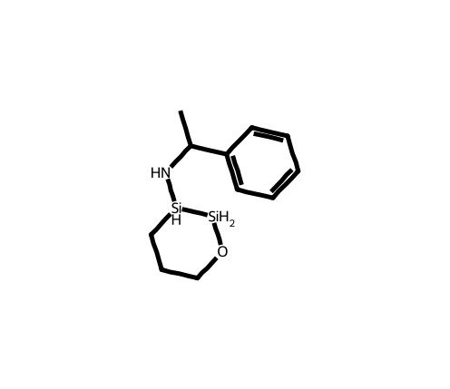 CC(N[SiH]1CCCO[SiH2]1)c1ccccc1